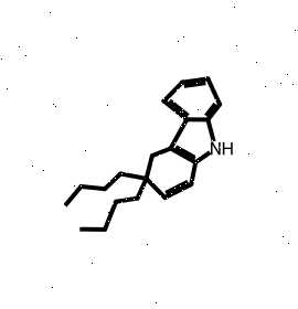 CCCCC1(CCCC)C=Cc2[nH]c3ccccc3c2C1